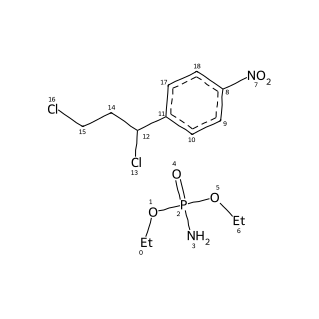 CCOP(N)(=O)OCC.O=[N+]([O-])c1ccc(C(Cl)CCCl)cc1